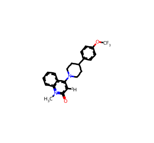 [2H]c1c(N2CCC(c3ccc(OC(F)(F)F)cc3)CC2)c2ccccc2n(C)c1=O